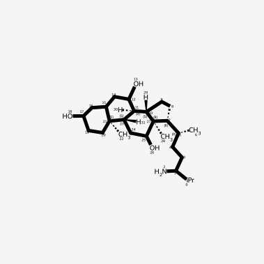 CC(C)C(N)CC[C@@H](C)[C@H]1CC[C@H]2[C@@H]3C(O)CC4CC(O)CC[C@]4(C)[C@H]3CC(O)[C@]12C